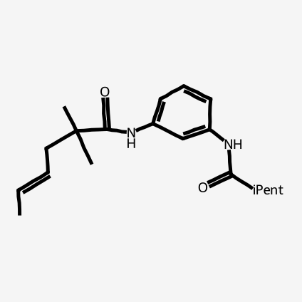 CC=CCC(C)(C)C(=O)Nc1cccc(NC(=O)C(C)CCC)c1